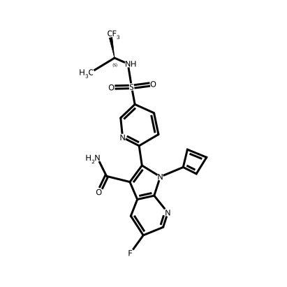 C[C@H](NS(=O)(=O)c1ccc(-c2c(C(N)=O)c3cc(F)cnc3n2C2=CC=C2)nc1)C(F)(F)F